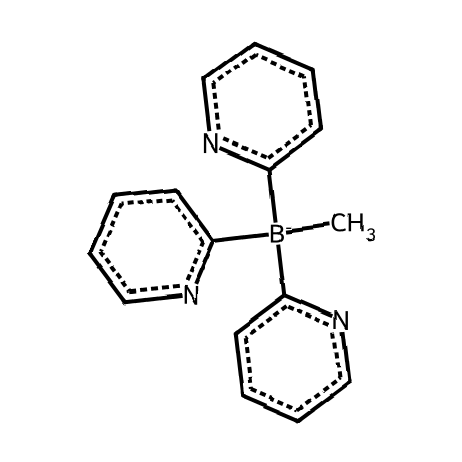 C[B-](c1ccccn1)(c1ccccn1)c1ccccn1